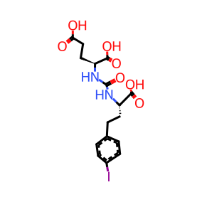 O=C(O)CC[C@H](NC(=O)N[C@@H](CCc1ccc(I)cc1)C(=O)O)C(=O)O